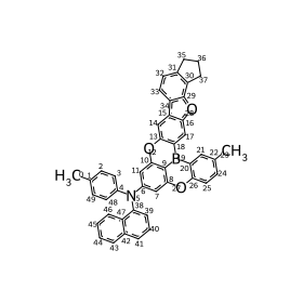 Cc1ccc(N(c2cc3c4c(c2)Oc2cc5c(cc2B4c2cc(C)ccc2O3)oc2c3c(ccc25)CCC3)c2cccc3ccccc23)cc1